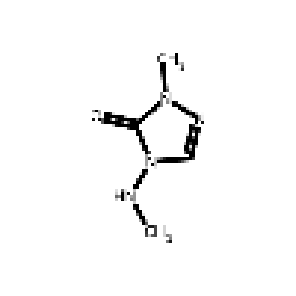 CNn1cnn(C)c1=O